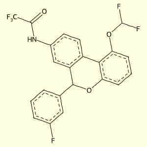 O=C(Nc1ccc2c(c1)C(c1cccc(F)c1)Oc1cccc(OC(F)F)c1-2)C(F)(F)F